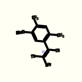 CCC/C(CC)=C(\CC)c1cc(OC)c(C(F)(F)F)cc1C